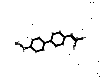 CCCCOC1CCC(C2CCC(C=C(F)F)CC2)CC1